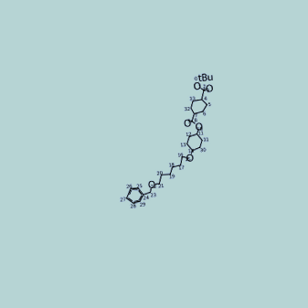 CC(C)(C)OC(=O)C1CCC(C(=O)OC2CCC(OCCCCCCOCc3ccccc3)CC2)CC1